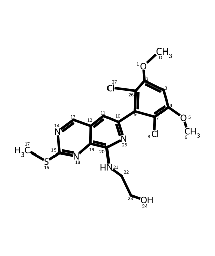 COc1cc(OC)c(Cl)c(-c2cc3cnc(SC)nc3c(NCCO)n2)c1Cl